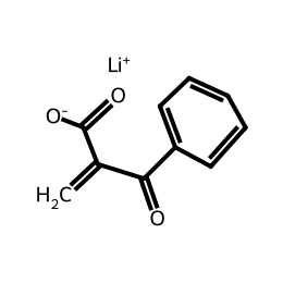 C=C(C(=O)[O-])C(=O)c1ccccc1.[Li+]